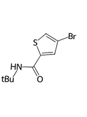 CC(C)(C)NC(=O)c1cc(Br)cs1